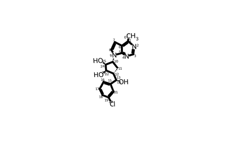 Cc1ncnc2c1ccn2[C@@H]1C[C@H]([C@H](O)c2cccc(Cl)c2)[C@@H](O)[C@H]1O